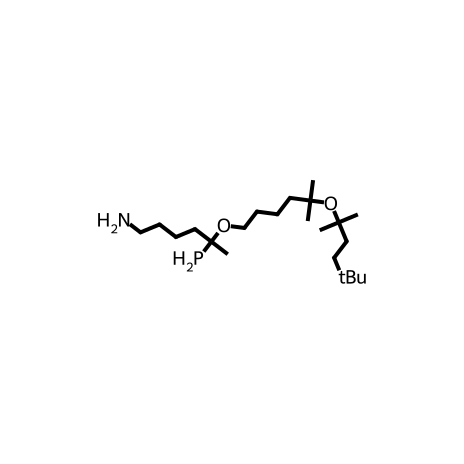 CC(C)(C)CCC(C)(C)OC(C)(C)CCCCOC(C)(P)CCCCN